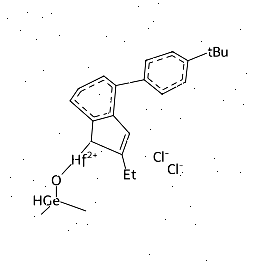 CCC1=Cc2c(-c3ccc(C(C)(C)C)cc3)cccc2[CH]1[Hf+2][O][GeH]([CH3])[CH3].[Cl-].[Cl-]